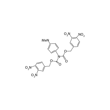 CNc1ccc(N(C(=O)OCc2ccc([N+](=O)[O-])c([N+](=O)[O-])c2)C(=O)OCc2ccc([N+](=O)[O-])c([N+](=O)[O-])c2)cc1